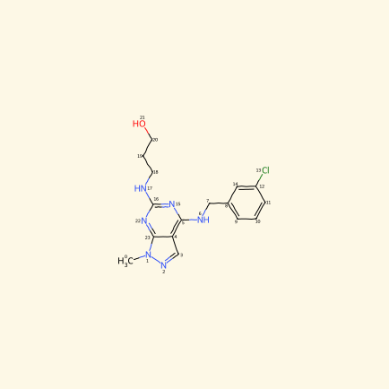 Cn1ncc2c(NCc3cccc(Cl)c3)nc(NCCCO)nc21